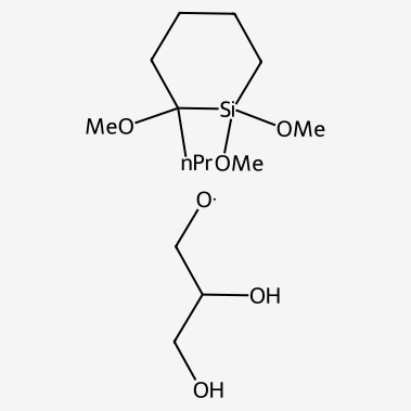 CCCC1(OC)CCCC[Si]1(OC)OC.[O]CC(O)CO